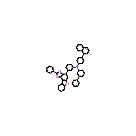 c1ccc(-c2cccc(N(c3ccc(-c4cccc5ccccc45)cc3)c3cccc(-c4cc5oc6ccccc6c5c5oc(-c6ccccc6)nc45)c3)c2)cc1